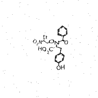 CCC(CON(C(=O)c1ccccc1)[C@H](Cc1ccc(O)cc1)C(=O)O)[N+](=O)[O-]